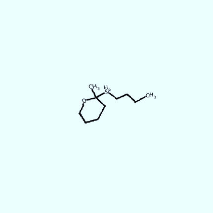 CCCC[SiH2]C1(C)CCCCO1